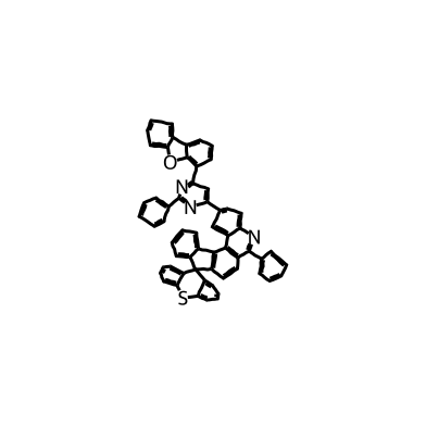 c1ccc(-c2nc(-c3ccc4nc(-c5ccccc5)c5ccc6c(c5c4c3)-c3ccccc3C63c4ccccc4Sc4ccccc43)cc(-c3cccc4c3oc3ccccc34)n2)cc1